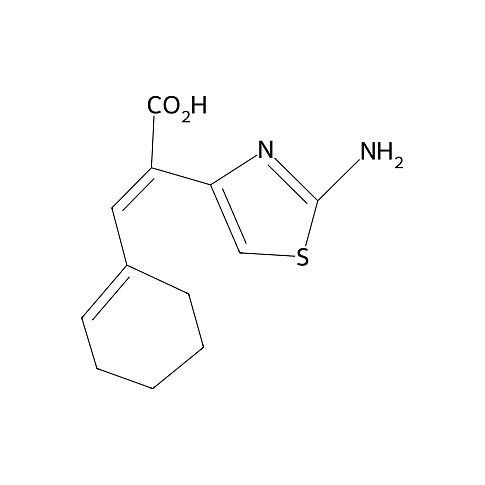 Nc1nc(C(=CC2=CCCCC2)C(=O)O)cs1